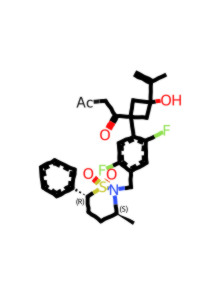 C=C(C)C1(O)CC(C(=O)CC(C)=O)(c2cc(F)c(CN3[C@@H](C)CC[C@H](c4ccccc4)S3(=O)=O)cc2F)C1